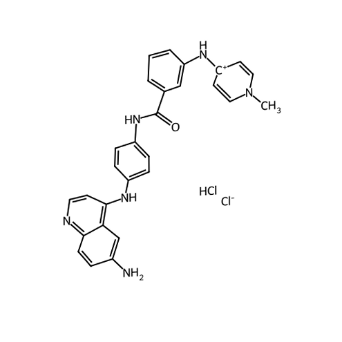 Cl.Cn1cc[c+](Nc2cccc(C(=O)Nc3ccc(Nc4ccnc5ccc(N)cc45)cc3)c2)cc1.[Cl-]